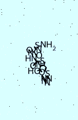 CON=C(C(=O)NC1C(=O)N2C(C(=O)O)=C(C=CSc3nnnn3C)CSC12)c1csc(N)n1